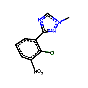 Cn1cnc(-c2cccc([N+](=O)[O-])c2Cl)n1